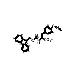 [N-]=[N+]=Nc1ccc(CC(NC(=O)OCC2c3ccccc3-c3ccccc32)C(=O)O)cc1